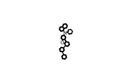 C1=CC(N(c2ccc3oc4c(-c5cccc(-c6ccccc6)c5)cccc4c3c2)c2cccc3ccccc23)=CCC1